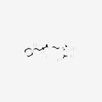 CC(C)C(C)OP(=O)(OC(C)(C)C)SCCOC(=O)C(C)(C)CCN1CCOCC1